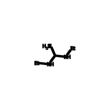 CCNC([SiH3])NCC